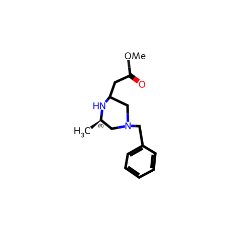 COC(=O)CC1CN(Cc2ccccc2)C[C@@H](C)N1